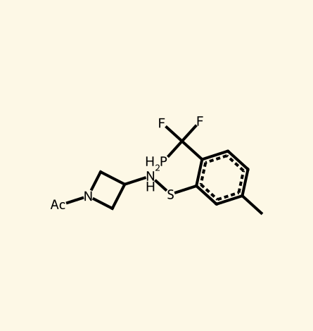 CC(=O)N1CC(NSc2cc(C)ccc2C(F)(F)P)C1